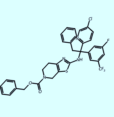 O=C(OCc1ccccc1)N1CCc2nc(NC(Cc3ccccc3)(c3cc(F)cc(C(F)(F)F)c3)c3ccc(Cl)cn3)sc2C1